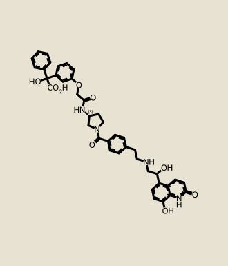 O=C(COc1cccc(C(O)(C(=O)O)c2ccccc2)c1)N[C@H]1CCN(C(=O)c2ccc(CCNCC(O)c3ccc(O)c4[nH]c(=O)ccc34)cc2)C1